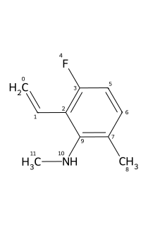 C=Cc1c(F)ccc(C)c1NC